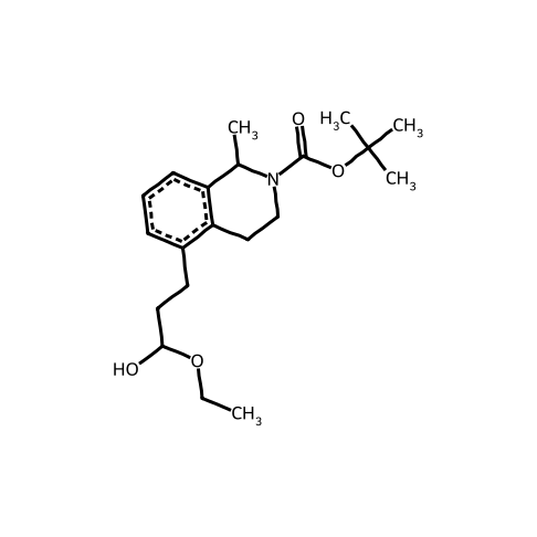 CCOC(O)CCc1cccc2c1CCN(C(=O)OC(C)(C)C)C2C